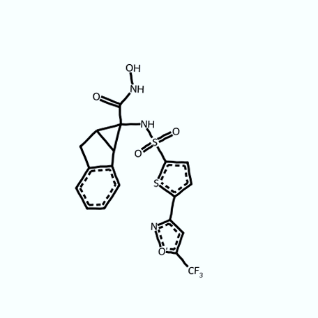 O=C(NO)C1(NS(=O)(=O)c2ccc(-c3cc(C(F)(F)F)on3)s2)C2Cc3ccccc3C21